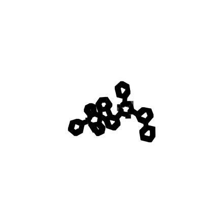 c1ccc(-c2cccc(-c3nc(-c4ccccc4)nc(-c4cccc5c4-c4ccccc4C54c5ccccc5N(c5ccccc5)c5ccccc54)n3)c2)cc1